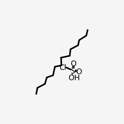 CCCCCCCCCCCCCC.O=S(=O)(O)Cl